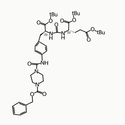 CC(C)(C)OC(=O)CC[C@H](NC(=O)N[C@@H](Cc1ccc(NC(=O)N2CCN(C(=O)OCc3ccccc3)CC2)cc1)C(=O)OC(C)(C)C)C(=O)OC(C)(C)C